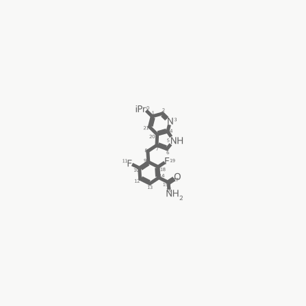 CC(C)c1cnc2[nH]cc(Cc3c(F)ccc(C(N)=O)c3F)c2c1